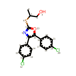 CC(CO)Sc1nc(-c2ccc(Cl)cc2)c(-c2ccc(Cl)cc2)o1